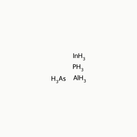 P.[AlH3].[AsH3].[InH3]